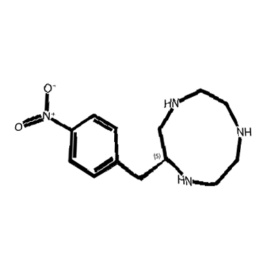 O=[N+]([O-])c1ccc(C[C@H]2CNCCNCCN2)cc1